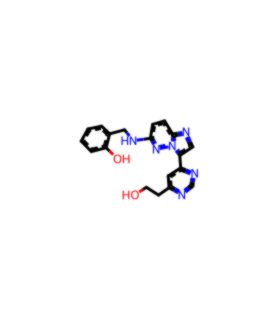 OCCc1cc(-c2cnc3ccc(NCc4ccccc4O)nn23)ncn1